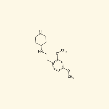 COc1ccc(CCNC2CCNCC2)c(OC)c1